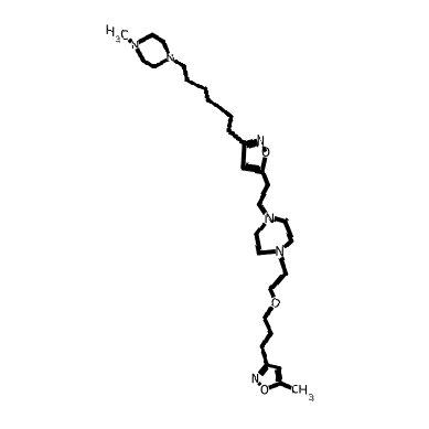 Cc1cc(CCCOCCN2CCN(CCc3cc(CCCCCCN4CCN(C)CC4)no3)CC2)no1